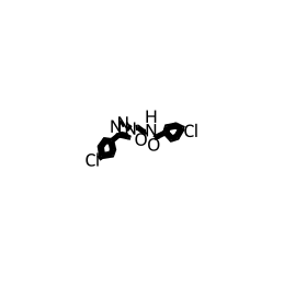 O=C(Cn1cc(-c2ccc(Cl)cc2)nn1)NC(=O)c1ccc(Cl)cc1